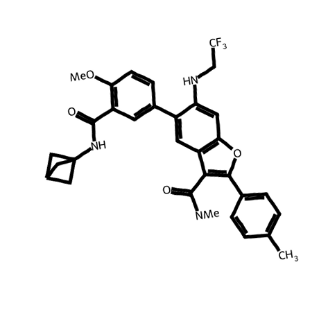 CNC(=O)c1c(-c2ccc(C)cc2)oc2cc(NCC(F)(F)F)c(-c3ccc(OC)c(C(=O)NC45CC(C4)C5)c3)cc12